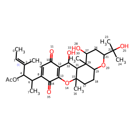 C/C=C(\C)C(OC(C)=O)C(C)C1=CC(=O)C2=C(OC3(C)CCC4OC(C(C)(C)O)CC(O)C4(C)C3C2O)C1=O